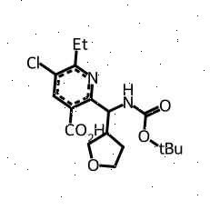 CCc1nc(C(NC(=O)OC(C)(C)C)C2CCOC2)c(C(=O)O)cc1Cl